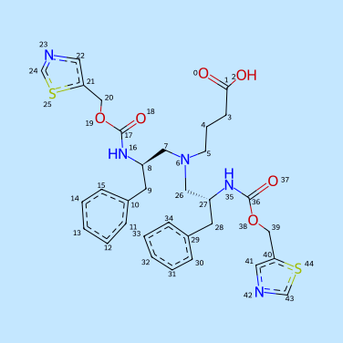 O=C(O)CCCN(C[C@@H](Cc1ccccc1)NC(=O)OCc1cncs1)C[C@@H](Cc1ccccc1)NC(=O)OCc1cncs1